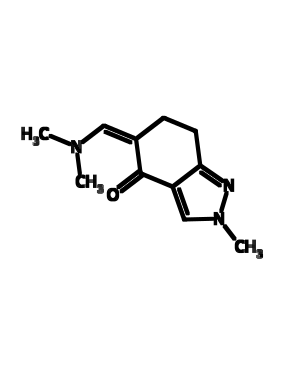 CN(C)/C=C1/CCc2nn(C)cc2C1=O